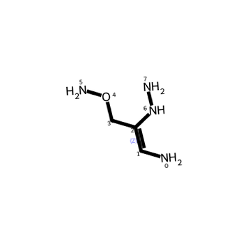 N/C=C(/CON)NN